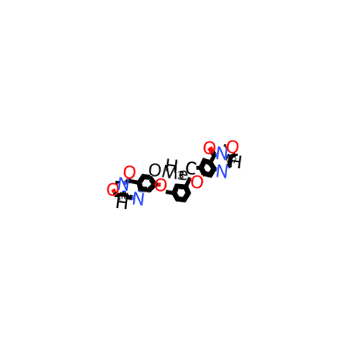 COc1cc2c(cc1OCc1cccc(COc3cc4c(cc3C)C(=O)N3COC[C@H]3C=N4)c1)N=C[C@@H]1COCN1C2=O